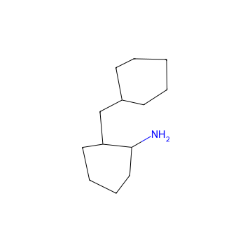 NC1CCCCC1CC1CCCCC1